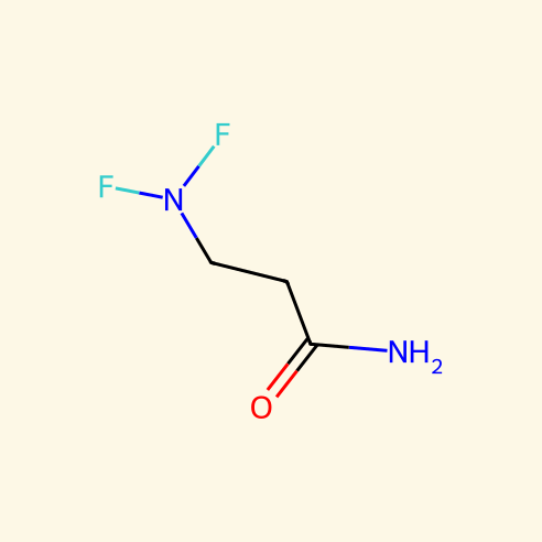 NC(=O)CCN(F)F